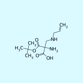 C=CCNCC(N)(C(=O)O)C(=O)OC(C)(C)C